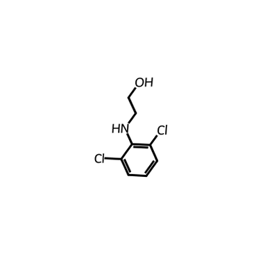 OCCNc1c(Cl)cccc1Cl